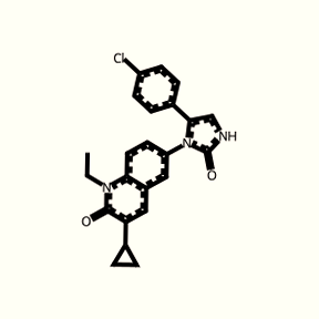 CCn1c(=O)c(C2CC2)cc2cc(-n3c(-c4ccc(Cl)cc4)c[nH]c3=O)ccc21